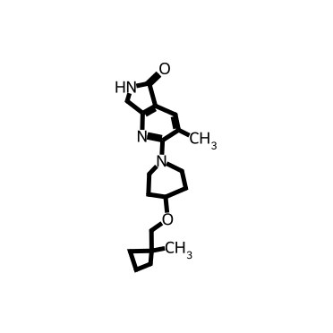 Cc1cc2c(nc1N1CCC(OCC3(C)CCC3)CC1)CNC2=O